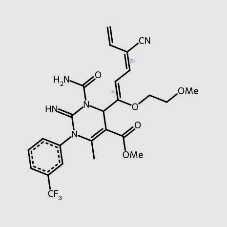 C=C/C(C#N)=C\C=C(/OCCOC)C1C(C(=O)OC)=C(C)N(c2cccc(C(F)(F)F)c2)C(=N)N1C(N)=O